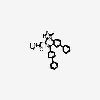 CCNC(=O)C[C@@H]1N=C(c2ccc(-c3ccccc3)cc2)c2cc(-c3ccccc3)ccc2-n2c(C)nnc21